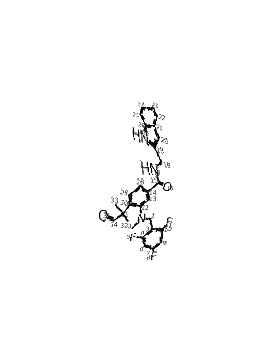 CN(Cc1c(F)cc(F)cc1F)c1cc(C(=O)NCc2cc3ccccc3[nH]2)ccc1C(C)(C)C=O